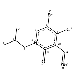 CC(C)Cn1cc(Br)c(Cl)c(C=N)c1=O